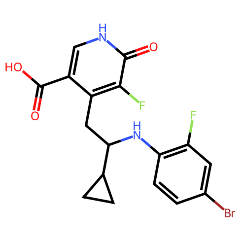 O=C(O)c1c[nH]c(=O)c(F)c1CC(Nc1ccc(Br)cc1F)C1CC1